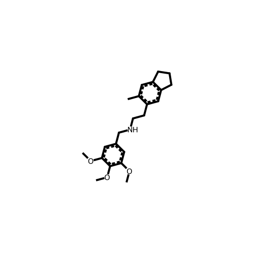 COc1cc(CNCCc2cc3c(cc2C)CCC3)cc(OC)c1OC